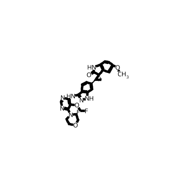 COc1ccc2c(c1)[C@]1(C[C@H]1c1ccc3c(Nc4ncnc(N5CCOCC5)c4OC(F)F)n[nH]c3c1)C(=O)N2